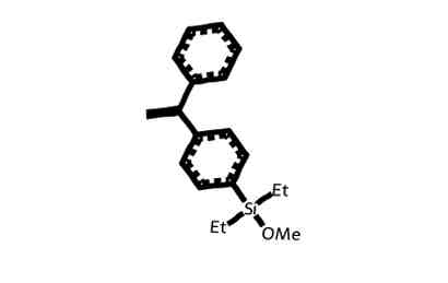 C=C(c1ccccc1)c1ccc([Si](CC)(CC)OC)cc1